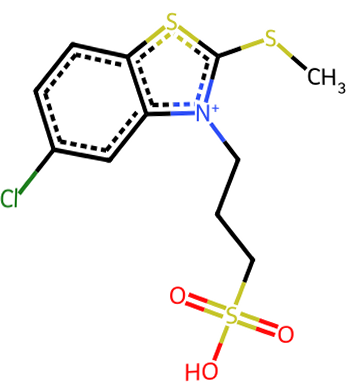 CSc1sc2ccc(Cl)cc2[n+]1CCCS(=O)(=O)O